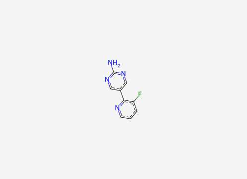 Nc1ncc(-c2ncccc2F)cn1